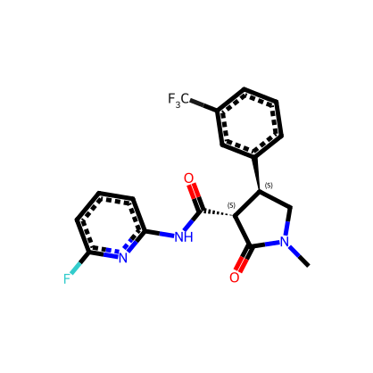 CN1C[C@H](c2cccc(C(F)(F)F)c2)[C@@H](C(=O)Nc2cccc(F)n2)C1=O